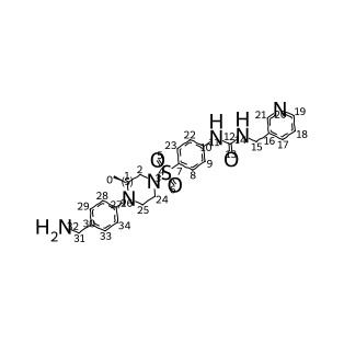 C[C@H]1CN(S(=O)(=O)c2ccc(NC(=O)NCc3cccnc3)cc2)CCN1c1ccc(CN)cc1